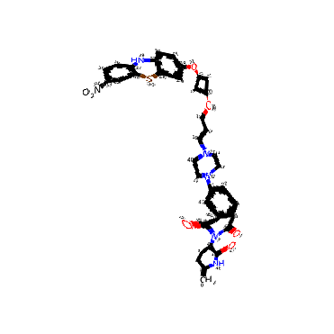 C=C1CCC(N2C(=O)c3ccc(N4CCN(CCCO[C@H]5C[C@H](Oc6ccc7c(c6)Sc6cc([N+](=O)[O-])ccc6N7)C5)CC4)cc3C2=O)C(=O)N1